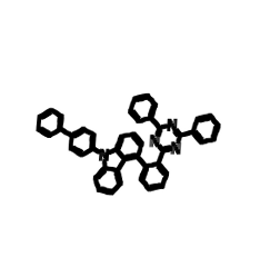 c1ccc(-c2ccc(-n3c4ccccc4c4c(-c5ccccc5-c5nc(-c6ccccc6)nc(-c6ccccc6)n5)cccc43)cc2)cc1